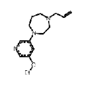 C=CCN1CCCN(c2cncc(OCC)c2)CC1